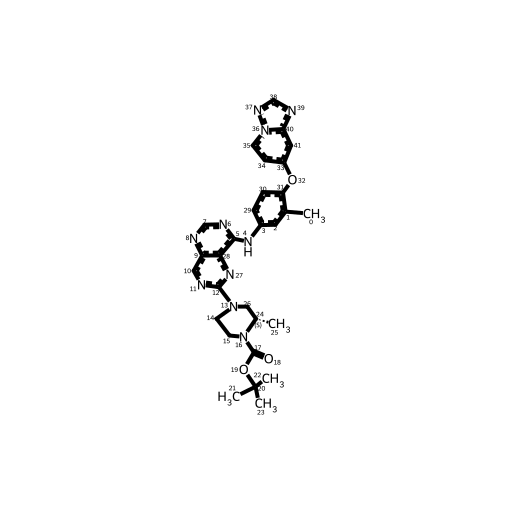 Cc1cc(Nc2ncnc3cnc(N4CCN(C(=O)OC(C)(C)C)[C@@H](C)C4)nc23)ccc1Oc1ccn2ncnc2c1